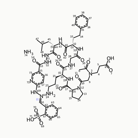 CC(=O)N(CCC(=O)O)CC(=O)N1CCC[C@H]1C(=O)N[C@@H](CCCN)C(=O)NCC(=O)N[C@@H](CCc1ccccc1)C(=O)N[C@@H](CC(C)C)C(=O)NNC(=O)c1ccc(N/N=C/c2ccccc2S(=O)(=O)O)nc1.N